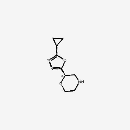 C1CO[C@@H](c2nnc(C3CC3)o2)CN1